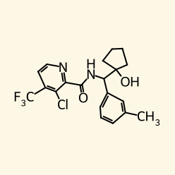 Cc1cccc(C(NC(=O)c2nccc(C(F)(F)F)c2Cl)C2(O)CCCC2)c1